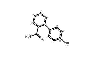 NC(=O)c1ccncc1-c1ccc(N)cc1